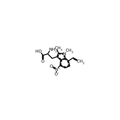 C=Cc1ccc([N+](=O)[O-])c2c(CC(N)C(=O)O)c(C)n(C)c12